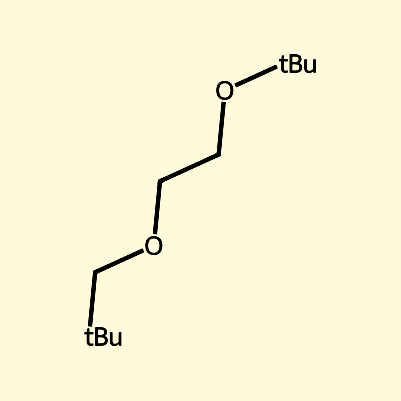 CC(C)(C)COCCOC(C)(C)C